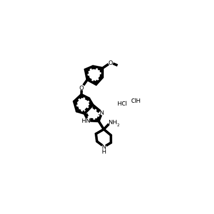 COc1ccc(Oc2ccc3[nH]c(C4(N)CCNCC4)nc3c2)cc1.Cl.Cl